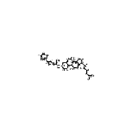 CC(C)CCC[C@@H](C)C1CCC2[C@@H]3CC=C4C[C@@H](OC(=O)NCCn5nccn5)CC[C@]4(C)C3CC[C@@]21C